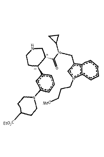 CCOC(=O)C1CCN(c2cccc([C@H]3CCNC[C@@H]3C(=O)N(Cc3cn(CCCOC)c4ccccc34)C3CC3)c2)CC1